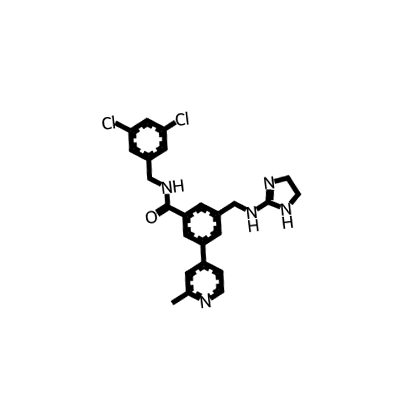 Cc1cc(-c2cc(CNC3=NCCN3)cc(C(=O)NCc3cc(Cl)cc(Cl)c3)c2)ccn1